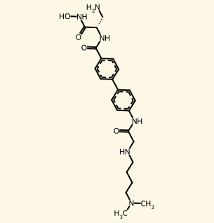 CN(C)CCCCNCC(=O)Nc1ccc(-c2ccc(C(=O)N[C@@H](CN)C(=O)NO)cc2)cc1